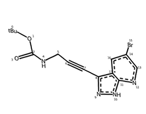 CC(C)(C)OC(=O)NCC#Cc1n[nH]c2ncc(Br)cc12